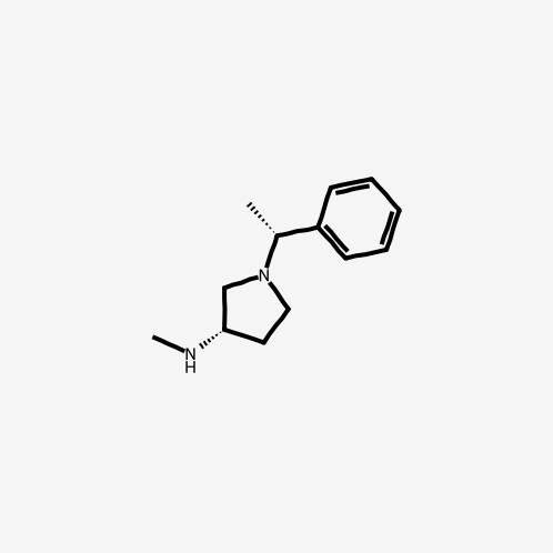 CN[C@H]1CCN([C@H](C)c2ccccc2)C1